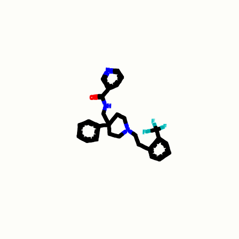 O=C(NCC1(c2ccccc2)CCN(CCc2ccccc2C(F)(F)F)CC1)c1cccnc1